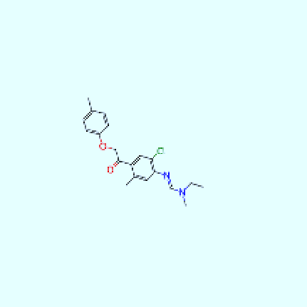 CCN(C)C=Nc1cc(C)c(C(=O)COc2ccc(C)cc2)cc1Cl